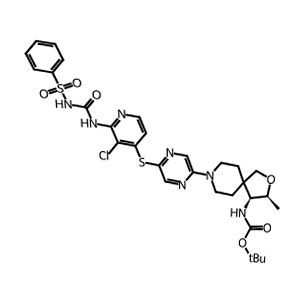 C[C@@H]1OCC2(CCN(c3cnc(Sc4ccnc(NC(=O)NS(=O)(=O)c5ccccc5)c4Cl)cn3)CC2)[C@@H]1NC(=O)OC(C)(C)C